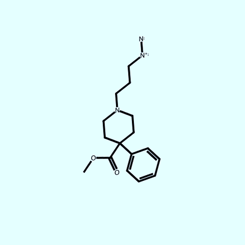 COC(=O)C1(c2ccccc2)CCN(CCC[N+][N])CC1